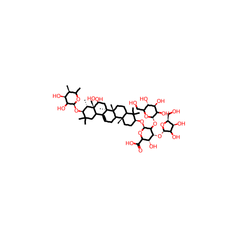 CC1O[C@@H](O[C@H]2[C@H](C)[C@@]3(CO)C(CC2(C)C)C2=CCC4[C@@]5(C)CC[C@H](O[C@@H]6OC(C(=O)O)[C@@H](O)[C@@H](O[C@@H]7O[C@@H](CO)[C@@H](O)C7O)C6O[C@@H]6OC(CO)[C@H](O)[C@@H](O)C6O)C(C)(C)C5CC[C@@]4(C)[C@]2(C)C[C@H]3O)C(O)[C@@H](O)[C@H]1C